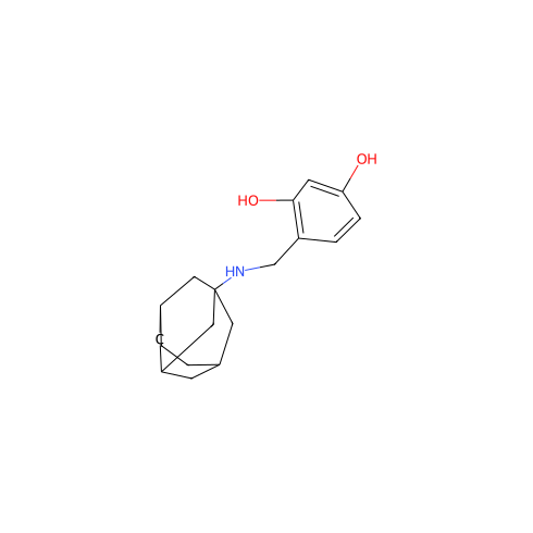 Oc1ccc(CNC23CC4CCC(CC(C4)C2)C3)c(O)c1